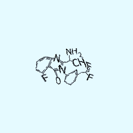 CC(N)c1nc2cccc(F)c2c(=O)n1-c1cccc(C(F)F)c1